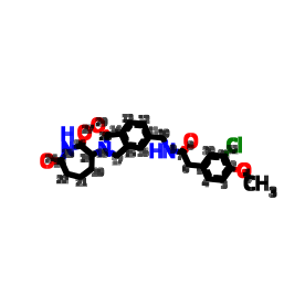 COc1ccc(CC(=O)NCc2ccc3c(c2)CN(C2CCCC(=O)NC2=O)C3=O)cc1Cl